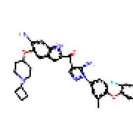 Cc1cc(-n2ncc(C(=O)c3cc4cc(OC5CCN(C6CCC6)CC5)c(N)cc4[nH]3)c2N)ccc1Oc1ccccc1F